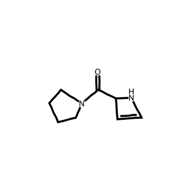 O=C(C1C=CN1)N1CCCC1